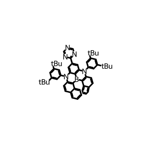 CC(C)(C)c1cc(N2c3cc(-c4ncncn4)cc4c3B(c3c2ccc2ccccc32)c2c(ccc3ccccc23)N4c2cc(C(C)(C)C)cc(C(C)(C)C)c2)cc(C(C)(C)C)c1